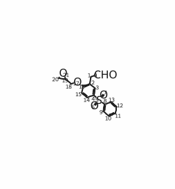 O=CCc1cc(S(=O)(=O)c2ccccc2)ccc1OCC1CO1